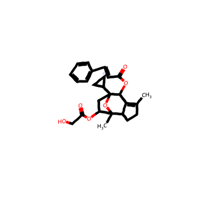 CC1=C2C(CC1)C1(C)OC(C3CC3)(CC1OC(=O)CO)C2OC(=O)/C=C/c1ccccc1